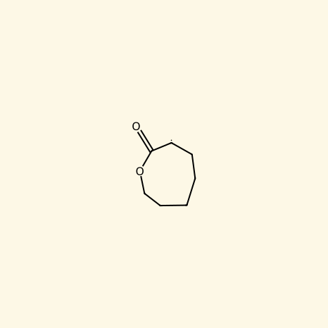 O=C1[CH]CCCCCO1